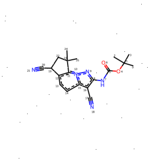 CC(C)(C)OC(=O)Nc1nn2c3c(ccc2c1C#N)C(C#N)CC3(C)C